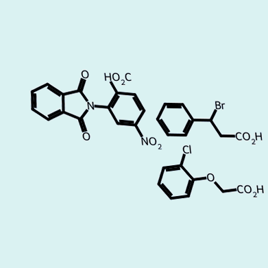 O=C(O)CC(Br)c1ccccc1.O=C(O)COc1ccccc1Cl.O=C(O)c1ccc([N+](=O)[O-])cc1N1C(=O)c2ccccc2C1=O